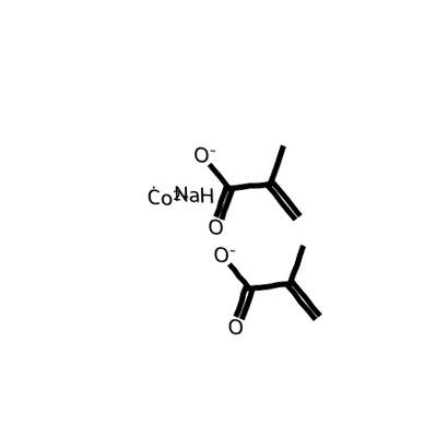 C=C(C)C(=O)[O-].C=C(C)C(=O)[O-].[Co+2].[NaH]